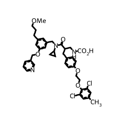 COCCCc1cc(CN(C(=O)C(CNC(=O)O)Cc2ccc(OCCOc3c(Cl)cc(C)cc3Cl)cc2)C2CC2)cc(OCc2cccnc2)c1